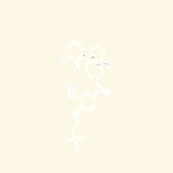 COc1cc(C(=O)N2CC[C@]3(c4cccc(F)c4F)OCO[C@@H]3C2)ccc1OCCC(F)(F)F